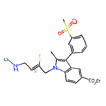 CCOC(=O)c1ccc2c(c1)c(-c1cccc(S(C)(=O)=O)c1)c(C)n2C/C(F)=C/CNCl